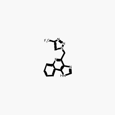 FC(F)(F)c1cn(Cc2nc3ccccc3c3[nH]cnc23)nn1